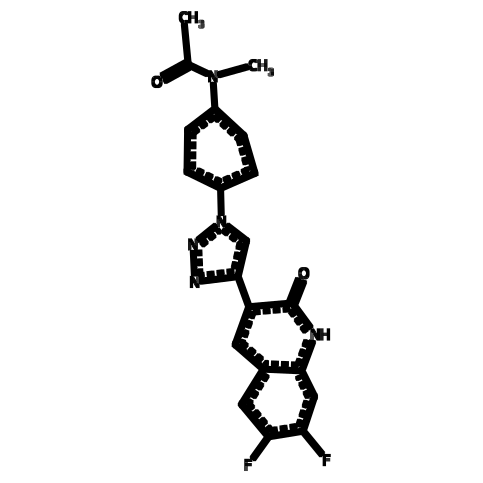 CC(=O)N(C)c1ccc(-n2cc(-c3cc4cc(F)c(F)cc4[nH]c3=O)nn2)cc1